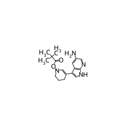 CC(C)(C)C(=O)ON1C=C(c2c[nH]c3ncc(N)cc23)CCC1